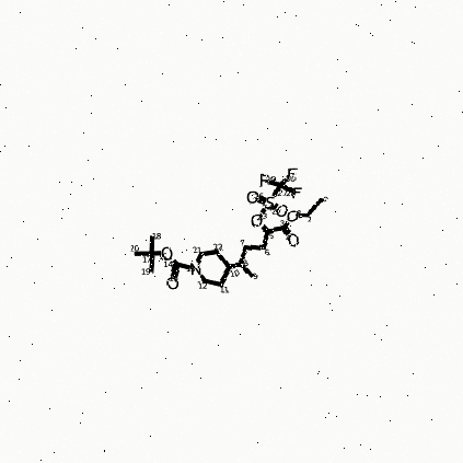 CCOC(=O)C(CCC(C)C1CCN(C(=O)OC(C)(C)C)CC1)OS(=O)(=O)C(F)(F)F